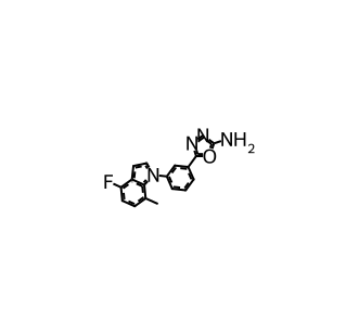 Cc1ccc(F)c2ccn(-c3cccc(-c4nnc(N)o4)c3)c12